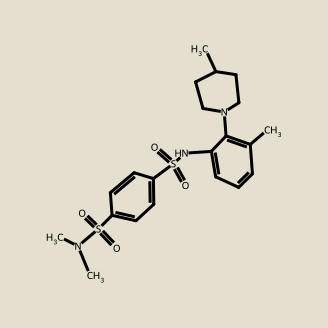 Cc1cccc(NS(=O)(=O)c2ccc(S(=O)(=O)N(C)C)cc2)c1N1CCC(C)CC1